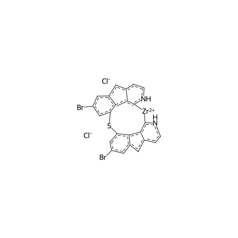 Brc1cc2c3c4[c]([nH]ccc-4cc3c1)[Zr+2][c]1[nH]ccc3cc4cc(Br)cc(c4c1-3)S2.[Cl-].[Cl-]